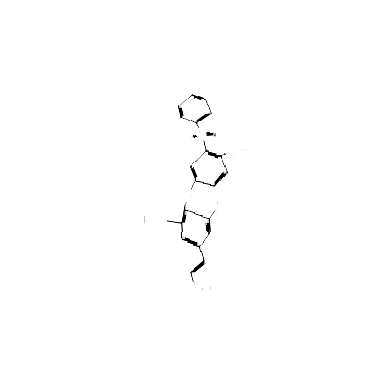 O=C(O)/C=C/c1cc(C(F)(F)F)c(Oc2ccc(O)c(S(=O)(=O)c3ccccc3)c2)c(C(F)(F)F)c1